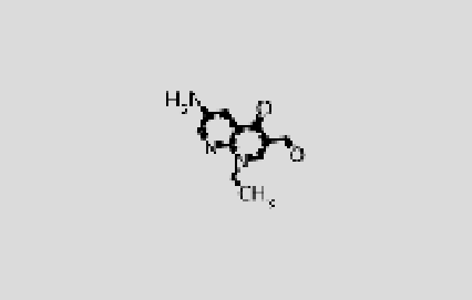 CCn1cc(C=O)c(=O)c2cc(N)cnc21